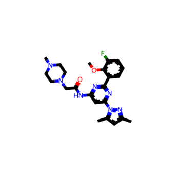 COc1c(F)cccc1-c1nc(NC(=O)CN2CCN(C)CC2)cc(-n2nc(C)cc2C)n1